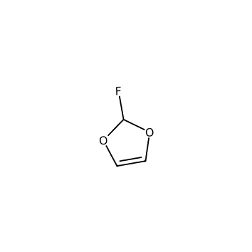 FC1OC=CO1